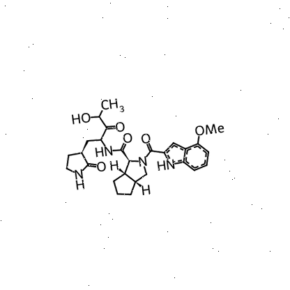 COc1cccc2[nH]c(C(=O)N3C[C@@H]4CCC[C@@H]4[C@H]3C(=O)NC(C[C@@H]3CCNC3=O)C(=O)C(C)O)cc12